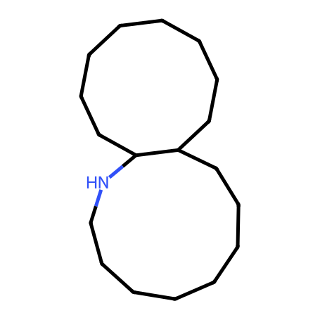 C1CCCCC2CCCCCCCCC2NCCC1